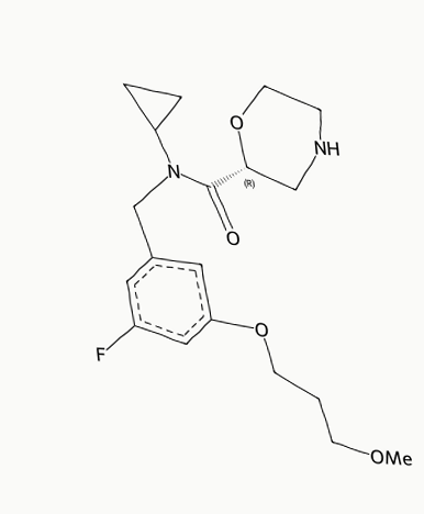 COCCCOc1cc(F)cc(CN(C(=O)[C@H]2CNCCO2)C2CC2)c1